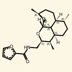 C[C@H]1[C@@H](CNC(=O)c2ccco2)O[C@@H]2O[C@@]3(C)CC[C@H]4[C@H](C)CC[C@@H]1[C@@]24OO3